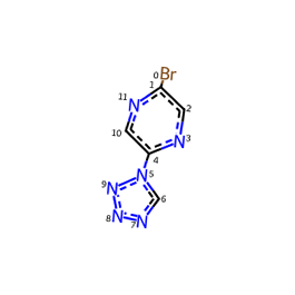 Brc1cnc(-n2cnnn2)cn1